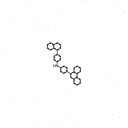 c1ccc2c(-c3ccc(Nc4ccc(-c5cc6ccccc6c6ccccc56)cc4)cc3)cccc2c1